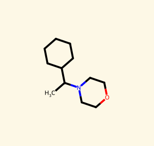 C[C](C1CCCCC1)N1CCOCC1